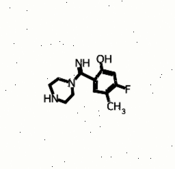 Cc1cc(C(=N)N2CCNCC2)c(O)cc1F